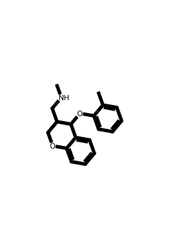 CNCC1COc2ccccc2C1Oc1ccccc1C